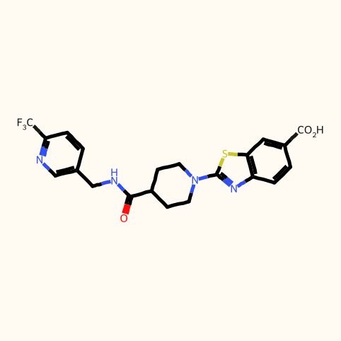 O=C(O)c1ccc2nc(N3CCC(C(=O)NCc4ccc(C(F)(F)F)nc4)CC3)sc2c1